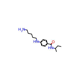 CCC(C)NC(=O)c1ccc(NCCCCCN)cc1